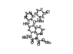 CCCCOc1c(Nc2ccc3c(N(C(=O)OC(C)(C)C)C(=O)OC(C)(C)C)nccc3c2)ncnc1-c1ccc(Cl)cc1